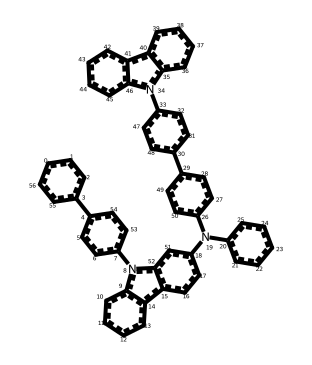 c1ccc(-c2ccc(-n3c4ccccc4c4ccc(N(c5ccccc5)c5ccc(-c6ccc(-n7c8ccccc8c8ccccc87)cc6)cc5)cc43)cc2)cc1